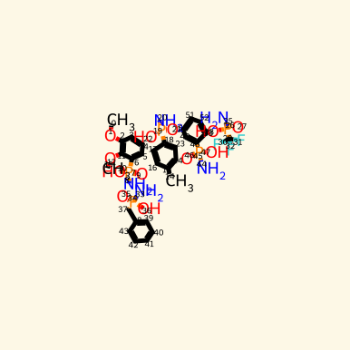 COc1cccc(P(N)(=O)O)c1OC.Cc1ccc(P(N)(=O)O)cc1.NP(=O)(O)C(F)(F)F.NP(=O)(O)Cc1ccccc1.NP(=O)(O)c1ccccc1